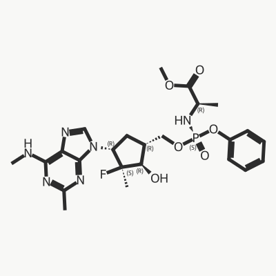 CNc1nc(C)nc2c1ncn2[C@@H]1C[C@H](CO[P@@](=O)(N[C@H](C)C(=O)OC)Oc2ccccc2)[C@@H](O)[C@@]1(C)F